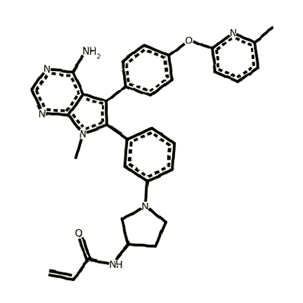 C=CC(=O)NC1CCN(c2cccc(-c3c(-c4ccc(Oc5cccc(C)n5)cc4)c4c(N)ncnc4n3C)c2)C1